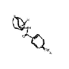 Cc1ccc(C(=O)N[C@H]2CN3CCC2CC3)cc1